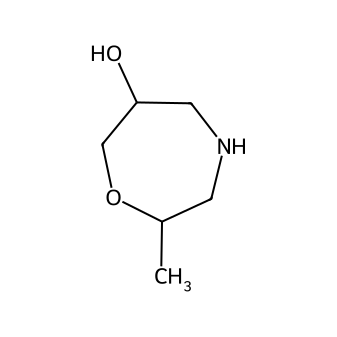 CC1CNCC(O)CO1